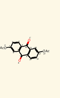 CC(=O)Oc1ccc2c(c1)C(=O)c1ccc(OC(C)=O)cc1C2=O